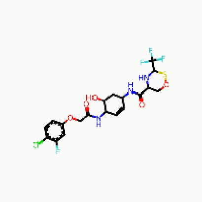 O=C(COc1ccc(Cl)c(F)c1)NC1C=CC(NC(=O)C2COSC(C(F)(F)F)N2)CC1O